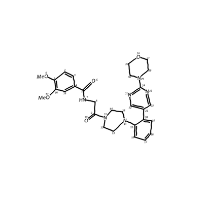 COc1ccc(C(=O)NCC(=O)N2CCN(c3ccccc3-c3cnc(N4CCOCC4)nc3)CC2)cc1OC